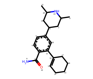 CC1CC(c2ccc(C(N)=O)c(C3=CCCCC3)c2)CC(C)N1